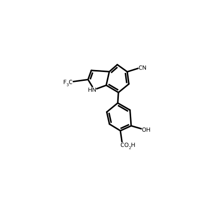 N#Cc1cc(-c2ccc(C(=O)O)c(O)c2)c2[nH]c(C(F)(F)F)cc2c1